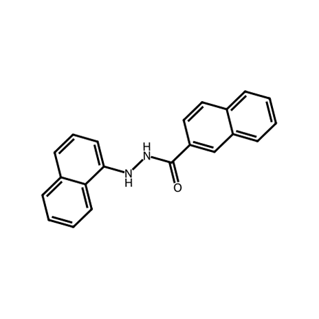 O=C(NNc1cccc2ccccc12)c1ccc2ccccc2c1